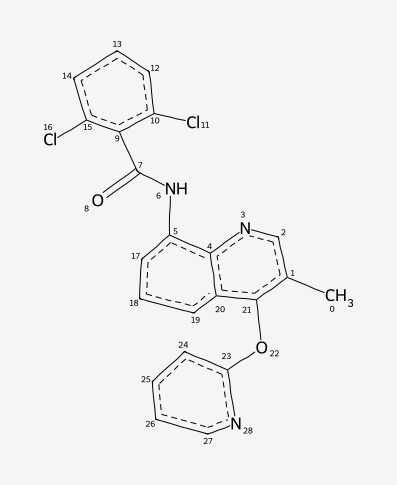 Cc1cnc2c(NC(=O)c3c(Cl)cccc3Cl)cccc2c1Oc1ccccn1